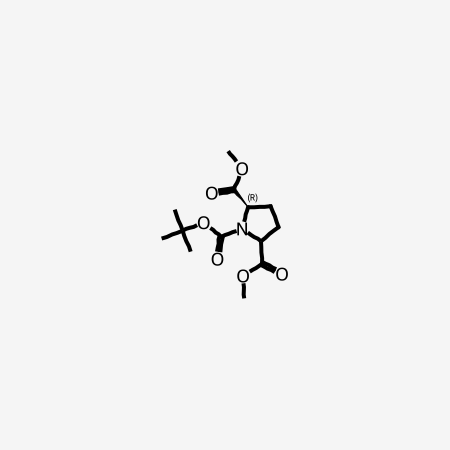 COC(=O)C1CC[C@H](C(=O)OC)N1C(=O)OC(C)(C)C